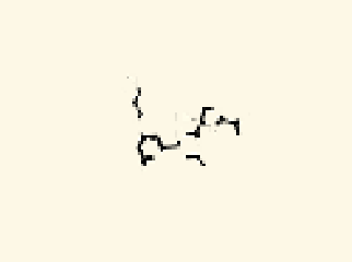 CCC[C@@H](NC(=O)[C@]1(N)CSC(C(C)=O)=N1)c1cc(OCCCN)cc(=O)o1